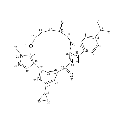 CC(C)c1ccc2c(c1)N1C[C@H](C)CCCOc3c(cnn3C)-c3cc(cc(C4CC4)n3)C(=O)/N=C/1N2